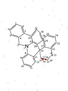 c1ccc2c(c1)CN1c3ccccc3C3(c4ccccc4Sc4ccccc43)c3cccc-2c31